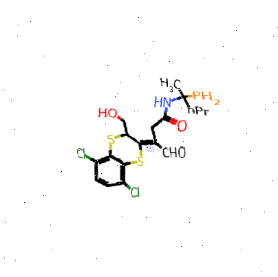 CCCC(C)(P)NC(=O)C/C(C=O)=C1/Sc2c(Cl)ccc(Cl)c2SC1CO